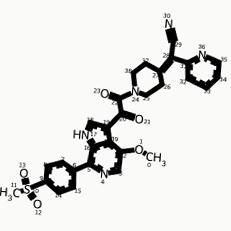 COc1cnc(-c2ccc(S(C)(=O)=O)cc2)c2[nH]cc(C(=O)C(=O)N3CCC(=C(C#N)c4ccccn4)CC3)c12